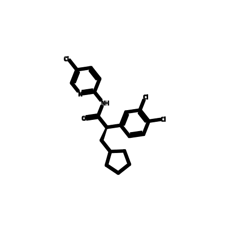 O=C(Nc1ccc(Cl)cn1)[C@H](CC1CCCC1)c1ccc(Cl)c(Cl)c1